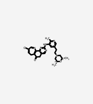 Cc1ncc(CCN2C[C@@H](C)O[C@@H](C)C2)cc1Nc1ncc2c(n1)C1=C(CC=C(Cl)C=N1)C(=O)C2